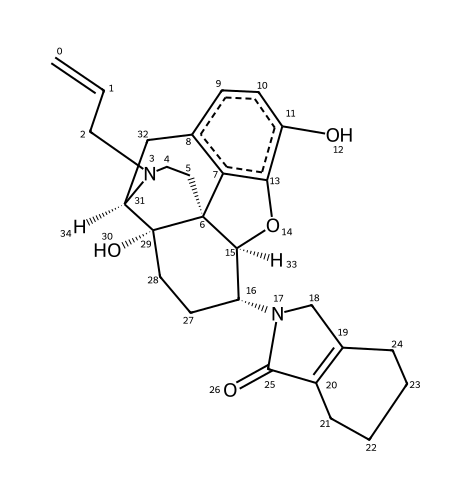 C=CCN1CC[C@]23c4c5ccc(O)c4O[C@H]2[C@H](N2CC4=C(CCCC4)C2=O)CC[C@@]3(O)[C@H]1C5